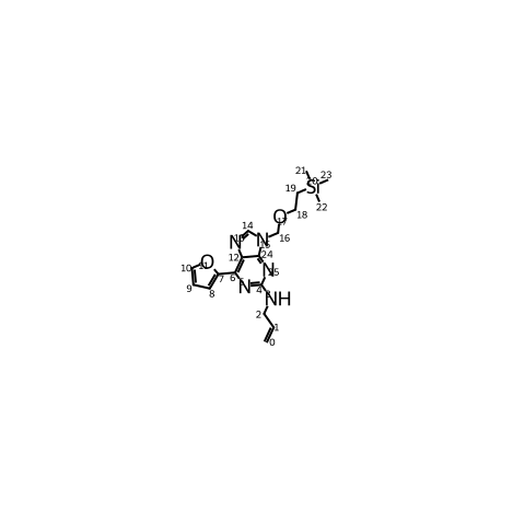 C=CCNc1nc(-c2ccco2)c2ncn(COCC[Si](C)(C)C)c2n1